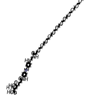 COCCOCCOCCOCCOCCOCCOCCOCCOCCOCCOCCOCCC(=O)NCCNc1ccc(/N=N/c2ccc(NC(=O)CCC[C@@H](C[C@H](N)C(=O)O)C(=O)O)cc2)cc1